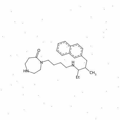 CCC(NCCCCN1CCNCCC1=O)C(C)Cc1ccc2ccccc2c1